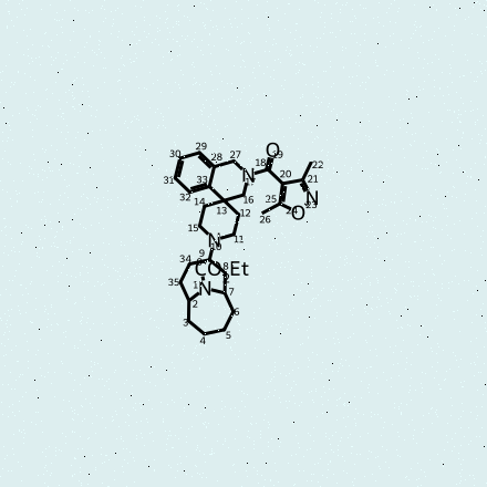 CCOC(=O)N1C2CCCCC1CC(N1CCC3(CC1)CN(C(=O)c1c(C)noc1C)Cc1ccccc13)CC2